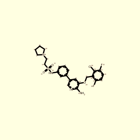 Nc1ncc(-c2cccc(NS(=O)(=O)CCN3CCCC3)c2)cc1OCc1c(F)ccc(F)c1Cl